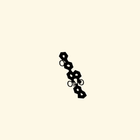 O=C1c2cccc3c(-c4ccc5c(c4)oc4ccccc45)ccc(c23)C(=O)N1c1ccc2ccccc2c1